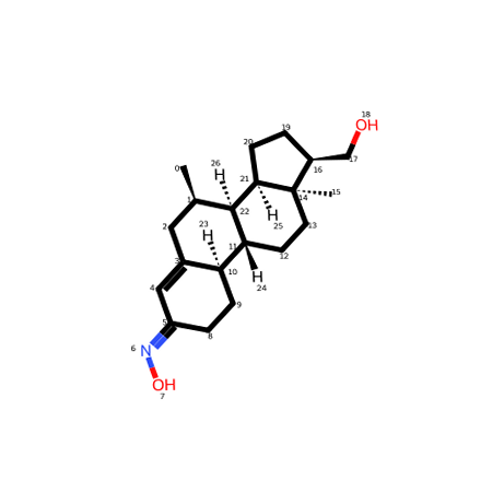 C[C@@H]1CC2=C/C(=N/O)CC[C@@H]2[C@H]2CC[C@]3(C)[C@H](CO)CC[C@@H]3[C@@H]21